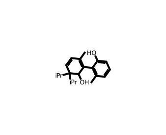 CC1=C(c2c(C)cccc2O)C(O)C(C(C)C)(C(C)C)C=C1